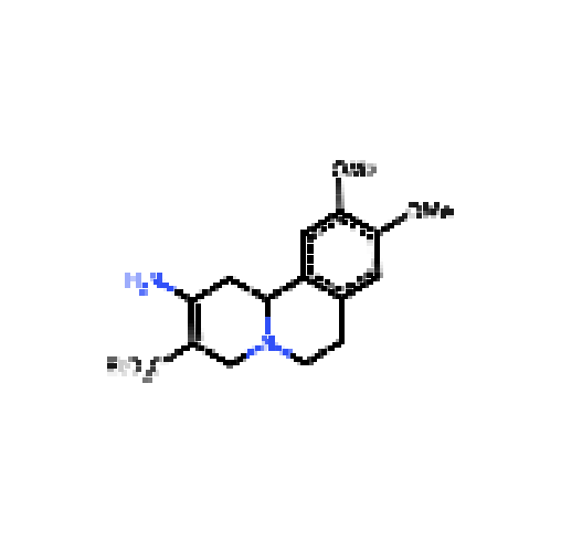 CCOC(=O)C1=C(N)CC2c3cc(OC)c(OC)cc3CCN2C1